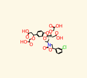 CC(C[C@@]1([C@@H](CC(=O)O)OCC(=O)O)Oc2ccc(C(CC(=O)O)OCC(=O)O)cc2O1)N1CC(c2cccc(Cl)c2)OC1=O